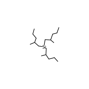 CCCC(C)C[Si](CC(C)CCC)CC(C)CCC